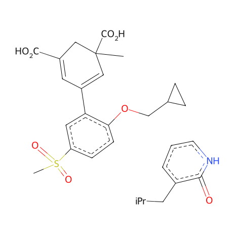 CC(C)Cc1ccc[nH]c1=O.CC1(C(=O)O)C=C(c2cc(S(C)(=O)=O)ccc2OCC2CC2)C=C(C(=O)O)C1